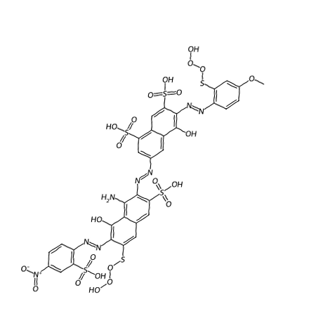 COc1ccc(N=Nc2c(S(=O)(=O)O)cc3c(S(=O)(=O)O)cc(N=Nc4c(S(=O)(=O)O)cc5cc(SOOO)c(N=Nc6ccc([N+](=O)[O-])cc6S(=O)(=O)O)c(O)c5c4N)cc3c2O)c(SOOO)c1